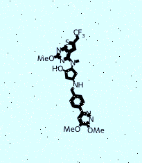 COc1nc(N(C)[C@H]2C[C@@H](NCc3ccc(-c4cc(OC)c(OC)nn4)cc3)C[C@H]2O)c2cc(CC(F)(F)F)sc2n1